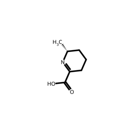 C[C@@H]1CCCC(C(=O)O)=N1